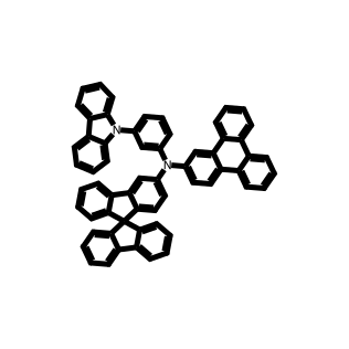 c1cc(N(c2ccc3c(c2)-c2ccccc2C32c3ccccc3-c3ccccc32)c2ccc3c4ccccc4c4ccccc4c3c2)cc(-n2c3ccccc3c3ccccc32)c1